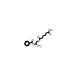 CC(COC(=O)CCCCC(=O)O)OC(=O)c1ccccc1